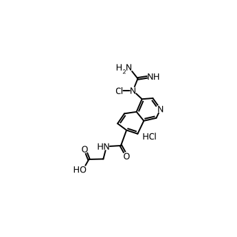 Cl.N=C(N)N(Cl)c1cncc2cc(C(=O)NCC(=O)O)ccc12